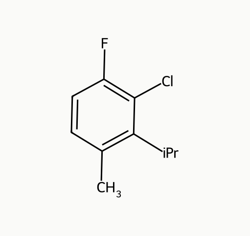 Cc1ccc(F)c(Cl)c1C(C)C